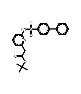 CC(C)(C)OC(=O)Cc1cccc(NS(=O)(=O)c2ccc(-c3ccccc3)cc2)n1